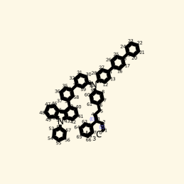 C/C=C\C(=C/Cc1ccc(N(c2ccc(-c3ccc(-c4ccccc4)cc3)cc2)c2cccc(-c3cccc(-c4cccc5c4c4ccccc4n5-c4ccccc4)c3)c2)cc1)c1ccccc1